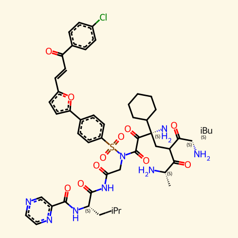 CC[C@H](C)[C@H](N)C(=O)C(C[C@@](N)(C(=O)C(=O)N(CC(=O)NC(=O)[C@H](CC(C)C)NC(=O)c1cnccn1)S(=O)(=O)c1ccc(-c2ccc(C=CC(=O)c3ccc(Cl)cc3)o2)cc1)C1CCCCC1)C(=O)[C@H](C)N